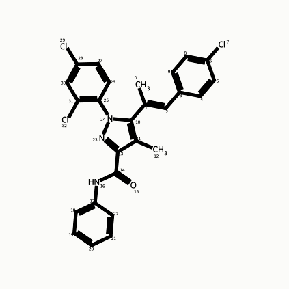 CC(=Cc1ccc(Cl)cc1)c1c(C)c(C(=O)Nc2ccccc2)nn1-c1ccc(Cl)cc1Cl